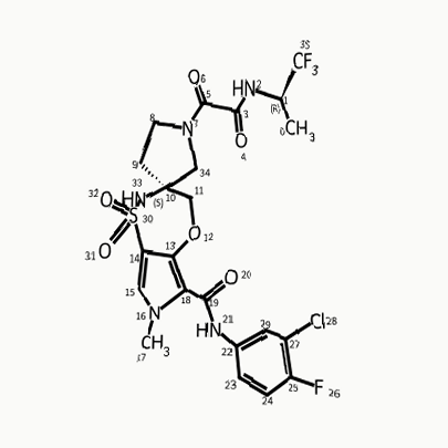 C[C@@H](NC(=O)C(=O)N1CC[C@@]2(COc3c(cn(C)c3C(=O)Nc3ccc(F)c(Cl)c3)S(=O)(=O)N2)C1)C(F)(F)F